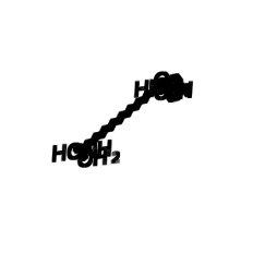 CN(C)c1cccc2c(S(=O)(=O)NCCCCCCCCCCCCCCCCC(N)(CO)CO)cccc12